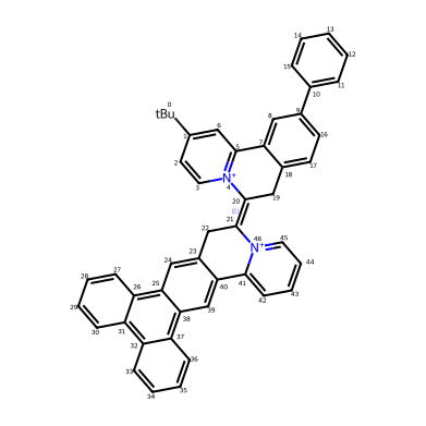 CC(C)(C)c1cc[n+]2c(c1)-c1cc(-c3ccccc3)ccc1C/C2=C1/Cc2cc3c4ccccc4c4ccccc4c3cc2-c2cccc[n+]21